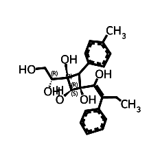 CCC(=C(O)[C@@]1(O)C(c2ccc(C)cc2)[C@@](O)([C@H](O)CO)[C@@H]1O)c1ccccc1